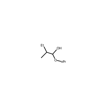 CCCOC(O)C(C)CC